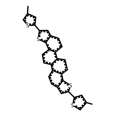 Cc1csc(-c2cc3ccc4c5ccc6c(ccc7cc(-c8cc(C)cs8)sc76)c5ccc4c3s2)c1